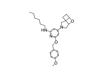 CCCCCCNc1cc(N2CC3OC4CCC43C2)cc(OCc2ccc(OC)cc2)n1